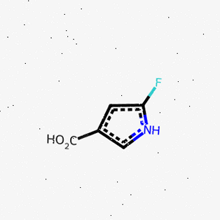 O=C(O)c1c[nH]c(F)c1